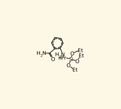 CCC[Si](OCC)(OCC)OCC.NC(=O)c1ccccc1N